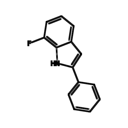 Fc1cccc2cc(-c3ccccc3)[nH]c12